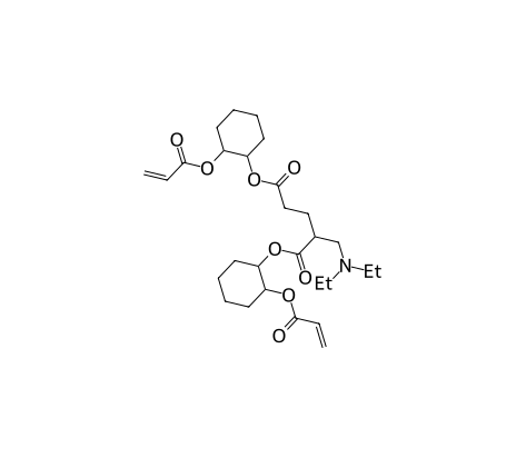 C=CC(=O)OC1CCCCC1OC(=O)CCC(CN(CC)CC)C(=O)OC1CCCCC1OC(=O)C=C